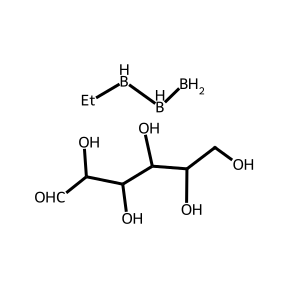 BBBCC.O=CC(O)C(O)C(O)C(O)CO